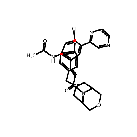 CC(=O)Nc1cc(Cl)c(-c2cnccn2)cc1C=CC(=O)N1C2COCC1CN(Cc1ccc(F)cc1)C2